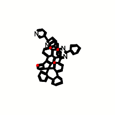 c1ccc(-c2nc(-c3ccc(-c4cccnc4)nc3)cc(-c3ccc4c(c3)C3(c5ccccc5-c5ccccc5-4)c4ccccc4-c4c3cc3ccc5cccc6ccc4c3c56)n2)cc1